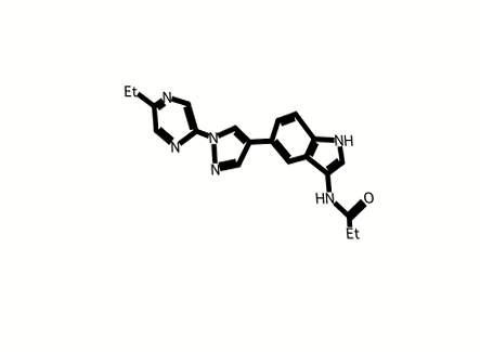 CCC(=O)Nc1c[nH]c2ccc(-c3cnn(-c4cnc(CC)cn4)c3)cc12